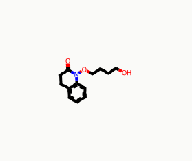 O=C1CCc2ccccc2N1OCCCCO